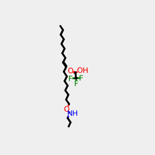 CCCCCCCCC=CCCCCCCCCONCCC.O=C(O)C(F)(F)F